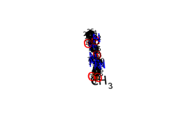 CS(=O)(=O)c1ccc(-n2ncc3c(OC4CCN(C(=O)c5onc6ccccc56)CC4)ncnc32)cc1